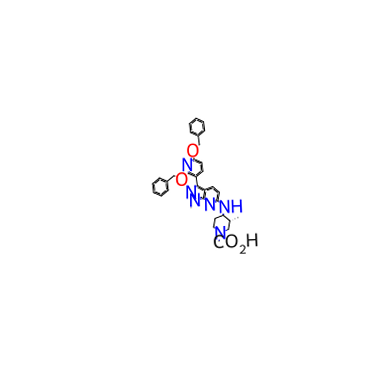 C[C@@H]1CN(C(=O)O)CC[C@H]1Nc1ccc2c(-c3ccc(OCc4ccccc4)nc3OCc3ccccc3)nn(C)c2n1